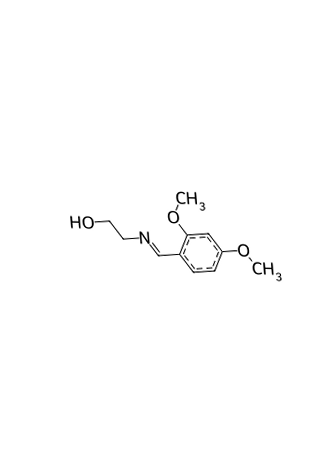 COc1ccc(/C=N/CCO)c(OC)c1